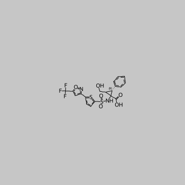 O=C(O)C1(NS(=O)(=O)c2ccc(-c3cc(C(F)(F)F)on3)s2)C(CO)[C@@H]1c1ccccc1